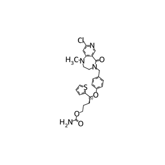 CN1CCN(Cc2ccc(O[C@@H](CCCOC(N)=O)c3cccs3)cc2)C(=O)c2cnc(Cl)cc21